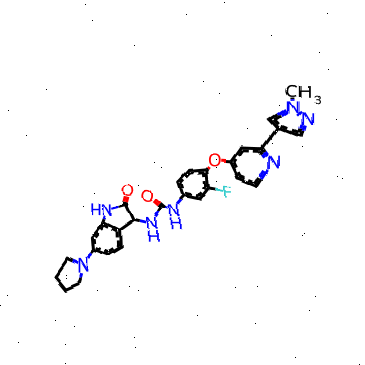 Cn1cc(-c2cc(Oc3ccc(NC(=O)NC4C(=O)Nc5cc(N6CCCC6)ccc54)cc3F)ccn2)cn1